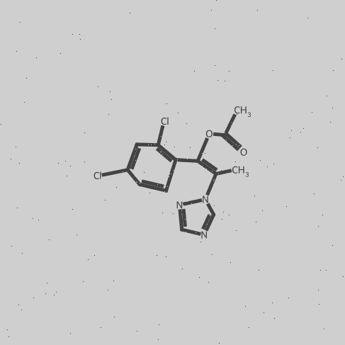 CC(=O)OC(=C(C)n1cncn1)c1ccc(Cl)cc1Cl